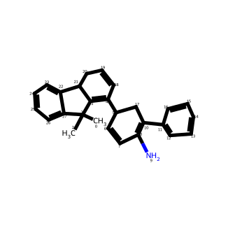 CC1(C)C2=C(C3C=CC(N)=C(c4ccccc4)C3)C=CCC2c2ccccc21